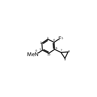 CNc1ccc(F)c(C2CC2)c1